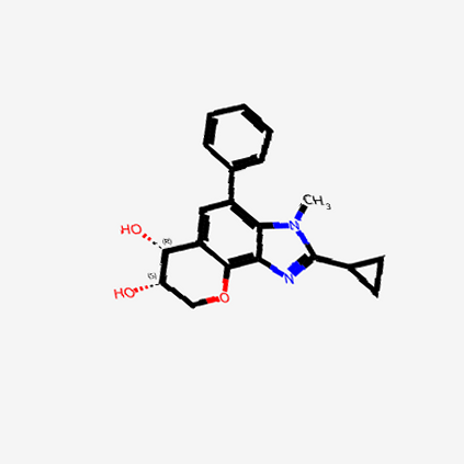 Cn1c(C2CC2)nc2c3c(cc(-c4ccccc4)c21)[C@@H](O)[C@@H](O)CO3